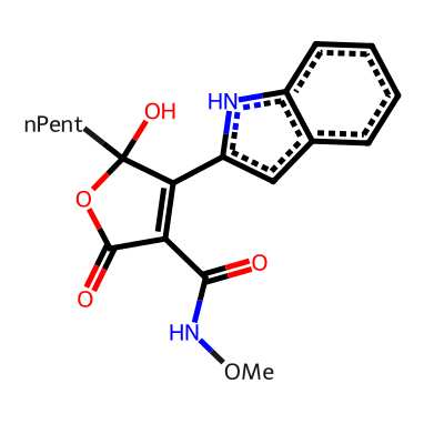 CCCCCC1(O)OC(=O)C(C(=O)NOC)=C1c1cc2ccccc2[nH]1